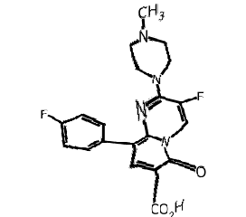 CN1CCN(c2nc3c(-c4ccc(F)cc4)cc(C(=O)O)c(=O)n3cc2F)CC1